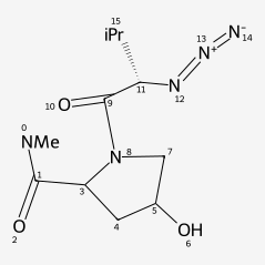 CNC(=O)C1CC(O)CN1C(=O)[C@@H](N=[N+]=[N-])C(C)C